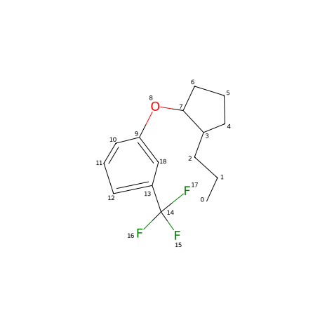 CCCC1CCCC1Oc1cccc(C(F)(F)F)c1